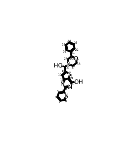 Oc1nc(-c2ccccn2)nc2cc([C@@H](O)N3CCOC(c4ccccc4)C3)sc12